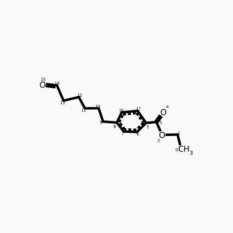 CCOC(=O)c1ccc(CCCCCC=O)cc1